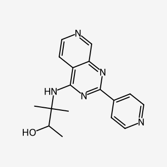 CC(O)C(C)(C)Nc1nc(-c2ccncc2)nc2cnccc12